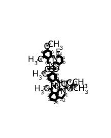 COc1ccc(CN(c2cccc(F)n2)S(=O)(=O)c2cc3cnn([C@H](C)c4cccc5c4CN(C(=O)OC(C)(C)C)CC5)c3cc2C)c(C)c1